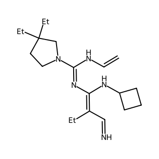 C=CN/C(=N\C(NC1CCC1)=C(\C=N)CC)N1CCC(CC)(CC)C1